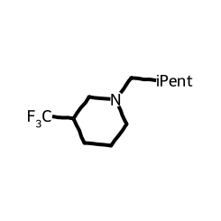 CCCC(C)CN1CCCC(C(F)(F)F)C1